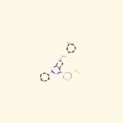 OC[C@H]1CCCN(c2nc(-c3ccccc3)nc3[nH]c(COc4cccc(Cl)c4)cc23)C1